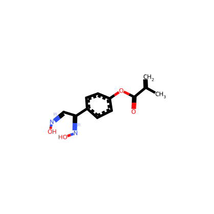 C=C(C)C(=O)Oc1ccc(C(/C=N\O)=N/O)cc1